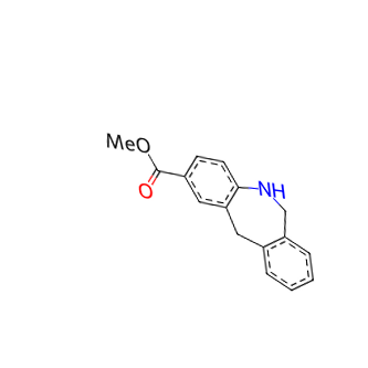 COC(=O)c1ccc2c(c1)Cc1ccccc1CN2